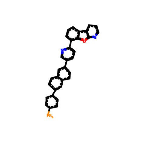 Pc1ccc(-c2ccc3cc(-c4ccc(-c5cccc6c5oc5ncccc56)nc4)ccc3c2)cc1